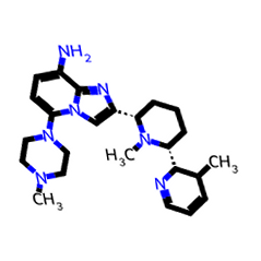 CC1C=CC=NC1[C@H]1CCC[C@@H](c2cn3c(N4CCN(C)CC4)ccc(N)c3n2)N1C